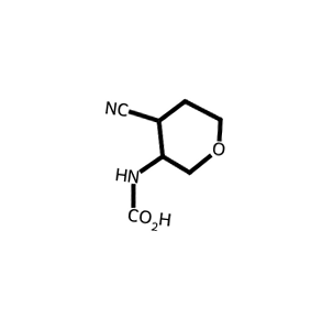 N#CC1CCOCC1NC(=O)O